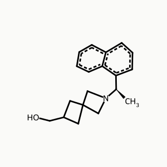 C[C@H](c1cccc2ccccc12)N1CC2(CC(CO)C2)C1